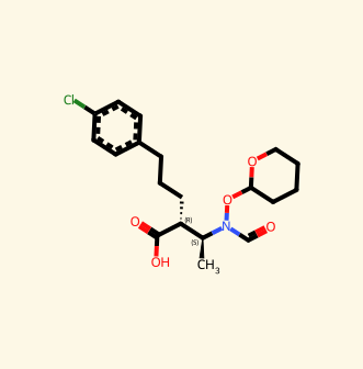 C[C@@H]([C@@H](CCCc1ccc(Cl)cc1)C(=O)O)N(C=O)OC1CCCCO1